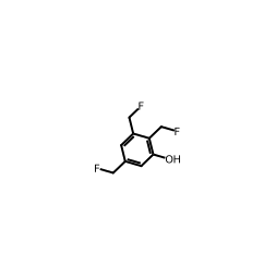 Oc1cc(CF)cc(CF)c1CF